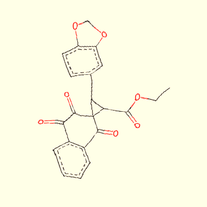 CCOC(=O)C1C(c2ccc3c(c2)OCO3)C12C(=O)C(=O)c1ccccc1C2=O